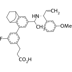 C=C[C@@H](NC(C)c1cc(-c2cc(F)cc(CCC(=O)O)c2)c2c(c1)C1CCC2CC1)c1cccc(OC)c1